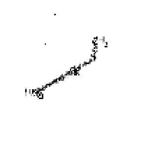 CCCCCC/C=C\CCCCCCCC(=O)OCCCCCCCCCCCCCCC(=O)O